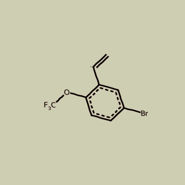 C=[C]c1cc(Br)ccc1OC(F)(F)F